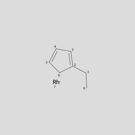 CCC1=CC=CC1.[Rh]